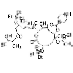 CCOC(C)O[C@]1(C)CCC(O[Si](CC)(CC)CC)CC(=O)O[C@H](/C(C)=C/C=C/[C@@](C)(C[C@H]2O[C@@H]2[C@H](C)[C@@H](O)CC)O[Si](CC)(CC)CC)[C@@H](C)/C=C/[C@@H]1OC(=O)N1CCNCC1